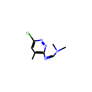 Cc1cc(Cl)nnc1/N=C\N(C)C